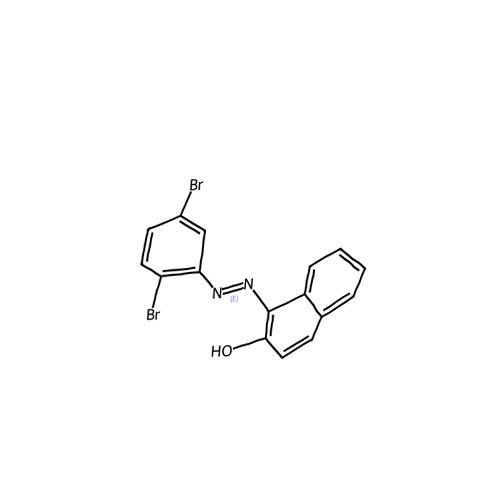 Oc1ccc2ccccc2c1/N=N/c1cc(Br)ccc1Br